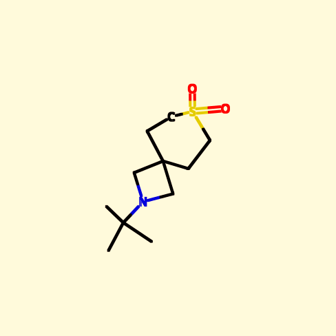 CC(C)(C)N1CC2(CCS(=O)(=O)CC2)C1